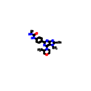 CCCCc1nc2nc(-c3ccc(NC(=O)NCC)cc3)nc(N3CCOCC3C)c2n1C